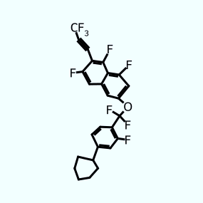 Fc1cc(C2CCCCC2)ccc1C(F)(F)Oc1cc(F)c2c(F)c(C#CC(F)(F)F)c(F)cc2c1